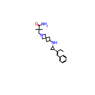 CC/C(=C\c1ccccc1)[C@H]1C[C@@H]1NC1CC2(C1)CN(CC(C)(C)C(N)=O)C2